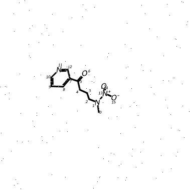 CN(CCCC(=O)c1cccnc1)[N+](=O)[O-]